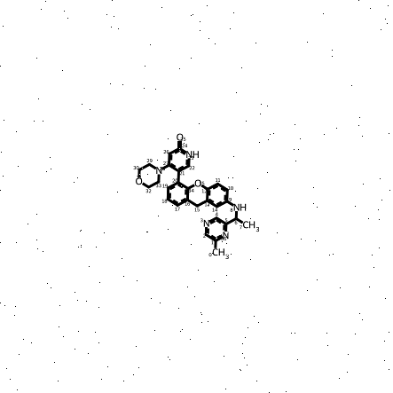 Cc1cncc(C(C)Nc2ccc3c(c2)Cc2cccc(-c4c[nH]c(=O)cc4N4CCOCC4)c2O3)n1